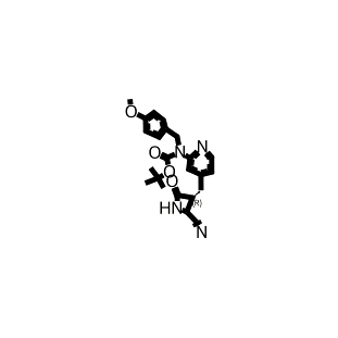 COc1ccc(CN(C(=O)OC(C)(C)C)c2cc(C[C@H]3C(=O)NC3C#N)ccn2)cc1